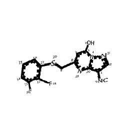 [C-]#[N+]c1cnn2c(O)cc(CSc3cccc(F)c3F)nc12